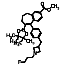 COC(=O)c1ccc2c(c1)CCCC(B1OC(C)(C)C(C)(C)O1)=C2c1ccc(CC2CN(CCCF)C2)cc1